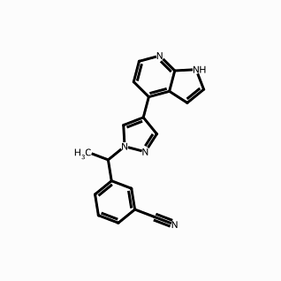 CC(c1cccc(C#N)c1)n1cc(-c2ccnc3[nH]ccc23)cn1